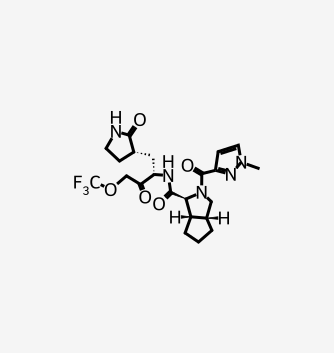 Cn1ccc(C(=O)N2C[C@@H]3CCC[C@@H]3[C@H]2C(=O)N[C@@H](C[C@@H]2CCNC2=O)C(=O)COC(F)(F)F)n1